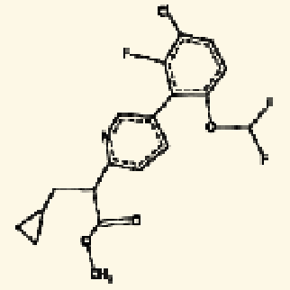 COC(=O)C(CC1CC1)c1ccc(-c2c(OC(F)F)ccc(Cl)c2F)cn1